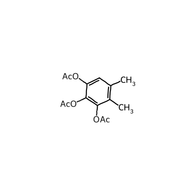 CC(=O)Oc1cc(C)c(C)c(OC(C)=O)c1OC(C)=O